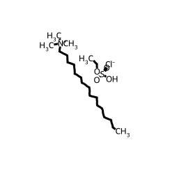 CCCCCCCCCCCCCCCC[N+](C)(C)C.CCOS(=O)(=O)O.[Cl-]